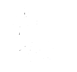 C[C@@H](CO[C@H]1C=C[C@](C)(O[Si](C)(C)C)C1)[C@H]1CCC2/C(=C/I)CCC[C@@]21C